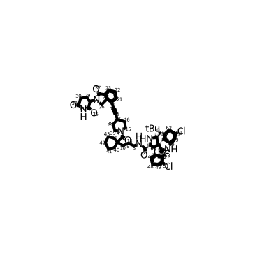 CC(C)(C)C[C@@H]1N[C@@H](C(=O)NCCCC2(C(=O)N3CCC(C#Cc4cccc5c4CN(C4CCC(=O)NC4=O)C5=O)CC3)CCCCC2)[C@H](c2cccc(Cl)c2F)[C@]12C(=O)Nc1cc(Cl)ccc12